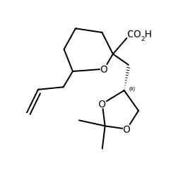 C=CCC1CCCC(C[C@@H]2COC(C)(C)O2)(C(=O)O)O1